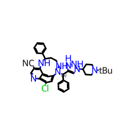 CC(C)(C)N1CCC(N2C=C([C@H](c3ccccc3)N3NCCC(c4ccccc4)Nc4c(C#N)cnc5c(Cl)cc3cc45)NN2)CC1